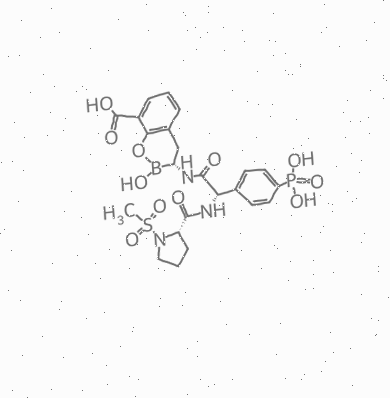 CS(=O)(=O)N1CCC[C@H]1C(=O)N[C@H](C(=O)N[C@H]1Cc2cccc(C(=O)O)c2OB1O)c1ccc(P(=O)(O)O)cc1